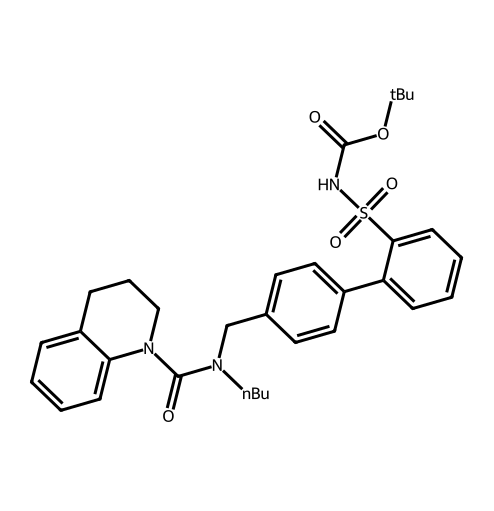 CCCCN(Cc1ccc(-c2ccccc2S(=O)(=O)NC(=O)OC(C)(C)C)cc1)C(=O)N1CCCc2ccccc21